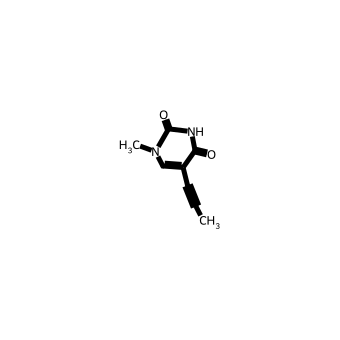 CC#Cc1cn(C)c(=O)[nH]c1=O